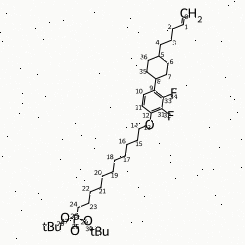 C=CCCCC1CCC(c2ccc(OCCCCCCCCCCCP(=O)(OC(C)(C)C)OC(C)(C)C)c(F)c2F)CC1